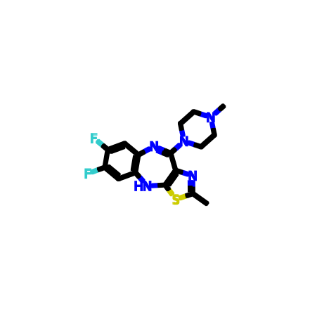 Cc1nc2c(s1)Nc1cc(F)c(F)cc1N=C2N1CCN(C)CC1